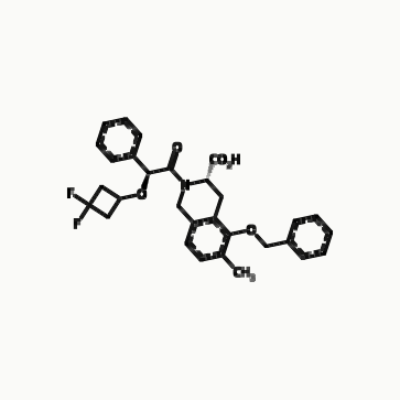 Cc1ccc2c(c1OCc1ccccc1)C[C@@H](C(=O)O)N(C(=O)[C@@H](OC1CC(F)(F)C1)c1ccccc1)C2